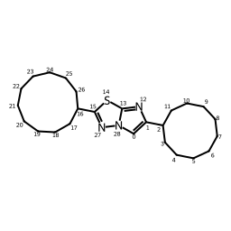 c1c(C2CCCCCCCCC2)nc2sc(C3CCCCCCCCCC3)nn12